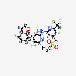 CS(=O)(=O)Cc1cc(Nc2cc(-c3ccc(F)c4ccoc34)c(F)cn2)nc(C(F)(F)F)c1